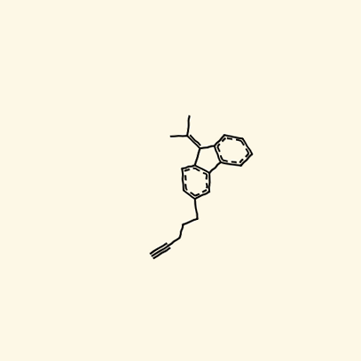 C#CCCCc1ccc2c(c1)-c1ccccc1C2=C(C)C